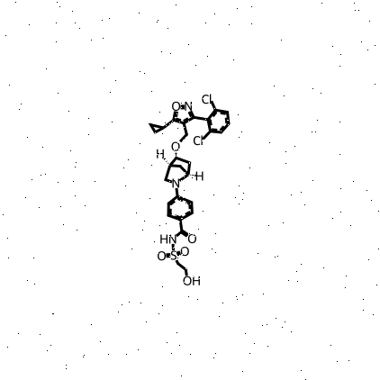 O=C(NS(=O)(=O)CCO)c1ccc(N2C[C@@H]3C[C@H]2C[C@H]3OCc2c(-c3c(Cl)cccc3Cl)noc2C2CC2)cc1